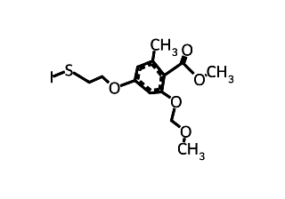 COCOc1cc(OCCSI)cc(C)c1C(=O)OC